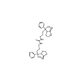 CC(CCCNC(=S)NCCCC(C)(c1ccccc1)C1CCOC1=O)(c1ccccc1)C1CCOC1=O